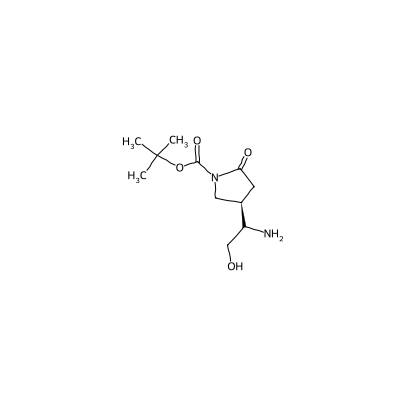 CC(C)(C)OC(=O)N1C[C@H](C(N)CO)CC1=O